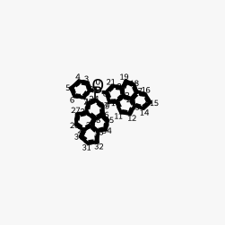 O=P(c1ccccc1)(c1cc2ccc3cccc4ccc(c1)c2c34)c1cc2ccc3cccc4ccc(c1)c2c34